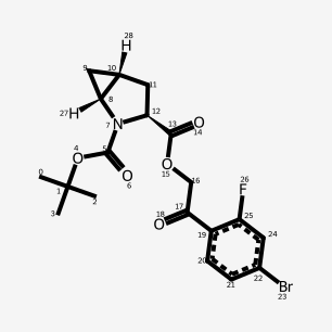 CC(C)(C)OC(=O)N1[C@@H]2C[C@@H]2C[C@H]1C(=O)OCC(=O)c1ccc(Br)cc1F